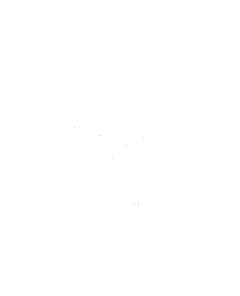 COC1=CC([C@H]2Oc3cc(O)cc(O)c3C[C@H]2O)CC(OC)=C1OC